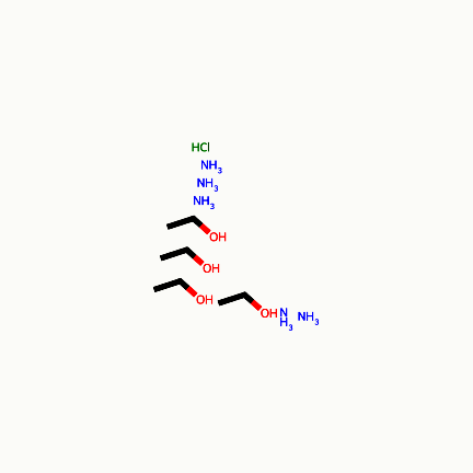 CCO.CCO.CCO.CCO.Cl.N.N.N.N.N